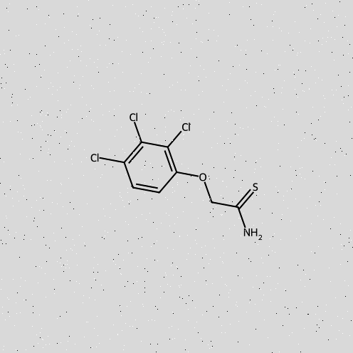 NC(=S)COc1ccc(Cl)c(Cl)c1Cl